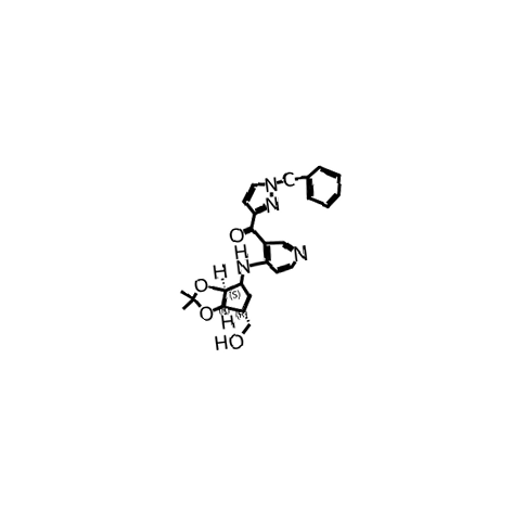 CC1(C)O[C@@H]2[C@@H](CO)CC(Nc3ccncc3C(=O)c3ccn(Cc4ccccc4)n3)[C@@H]2O1